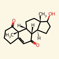 C[C@]12C(=O)CCCC1=CC(=O)[C@@H]1[C@H]2CC[C@]2(C)C(O)CC[C@@H]12